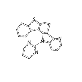 c1cnc(-n2c3cccnc3c3ccc4sc5ccccc5c4c32)nc1